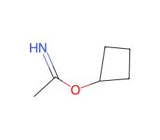 CC(=N)OC1CCC1